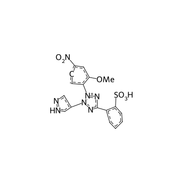 COc1cc([N+](=O)[O-])ccc1-[n+]1nc(-c2ccccc2S(=O)(=O)O)nn1-c1cn[nH]c1